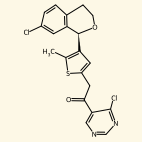 Cc1sc(CC(=O)c2cncnc2Cl)cc1[C@@H]1OCCc2ccc(Cl)cc21